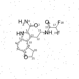 NC(=O)c1[nH]c2ccc3c(c2c1CCNC(=O)C(F)F)CCO3